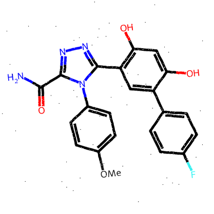 COc1ccc(-n2c(C(N)=O)nnc2-c2cc(-c3ccc(F)cc3)c(O)cc2O)cc1